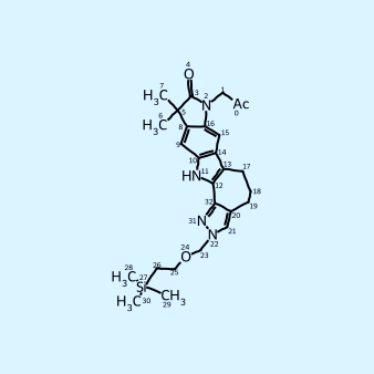 CC(=O)CN1C(=O)C(C)(C)c2cc3[nH]c4c(c3cc21)CCCc1cn(COCC[Si](C)(C)C)nc1-4